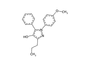 CCCc1nn(-c2ccc(OC)cc2)c(-c2ccccc2)c1O